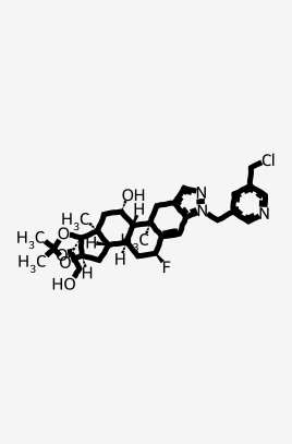 CC1(C)O[C@@H]2C[C@H]3[C@@H]4C[C@H](F)C5=Cc6c(cnn6Cc6cncc(CCl)c6)C[C@]5(C)[C@H]4[C@@H](O)C[C@]3(C)[C@]2(C(=O)CO)O1